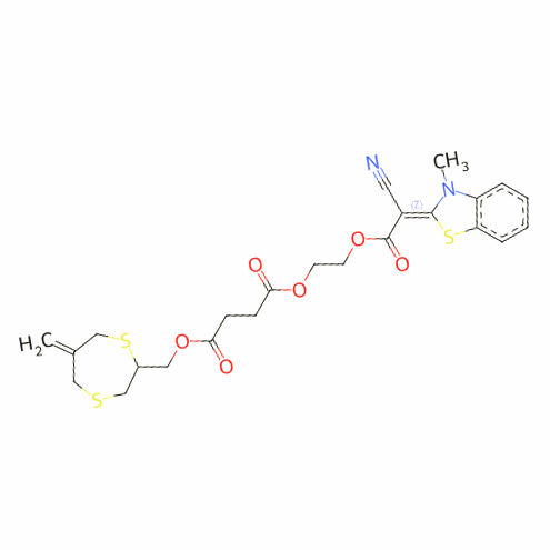 C=C1CSCC(COC(=O)CCC(=O)OCCOC(=O)/C(C#N)=C2\Sc3ccccc3N2C)SC1